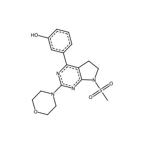 CS(=O)(=O)N1CCc2c(-c3cccc(O)c3)nc(N3CCOCC3)nc21